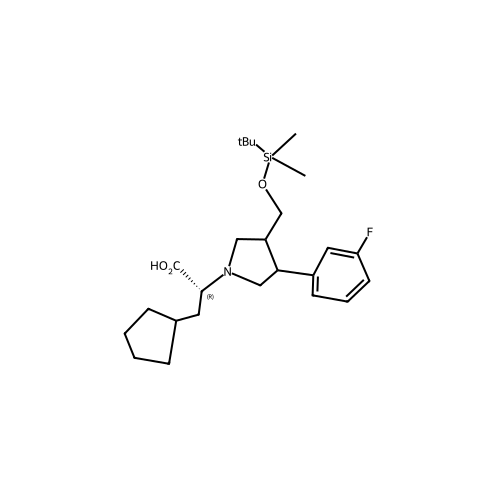 CC(C)(C)[Si](C)(C)OCC1CN([C@H](CC2CCCC2)C(=O)O)CC1c1cccc(F)c1